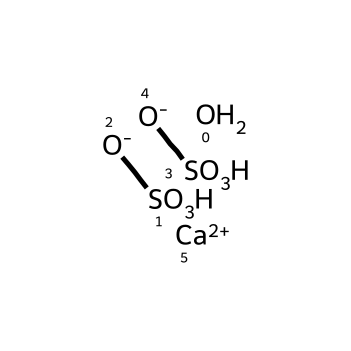 O.O=S(=O)([O-])O.O=S(=O)([O-])O.[Ca+2]